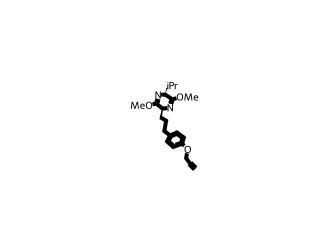 C#CCOc1ccc(CCC[C@@H]2N=C(OC)[C@@H](C(C)C)N=C2OC)cc1